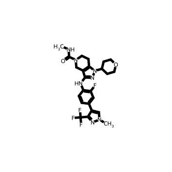 CNC(=O)N1CCc2c(c(Nc3ccc(-c4cn(C)nc4C(F)(F)F)cc3F)nn2C2CCOCC2)C1